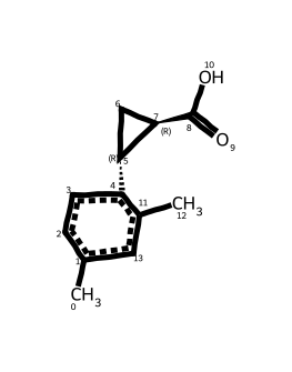 Cc1ccc([C@@H]2C[C@H]2C(=O)O)c(C)c1